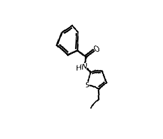 CCc1ccc(NC(=O)c2ccccc2)s1